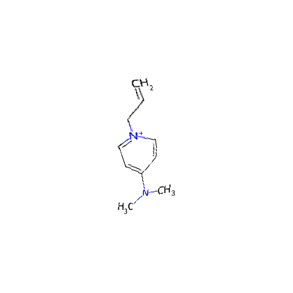 C=CC[n+]1ccc(N(C)C)cc1